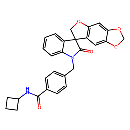 O=C(NC1CCC1)c1ccc(CN2C(=O)C3(COc4cc5c(cc43)OCO5)c3ccccc32)cc1